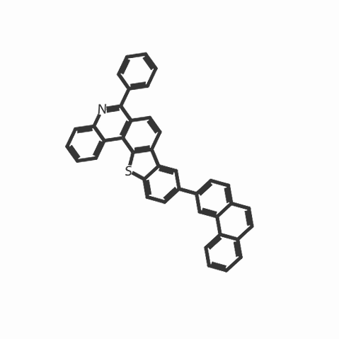 c1ccc(-c2nc3ccccc3c3c2ccc2c4cc(-c5ccc6ccc7ccccc7c6c5)ccc4sc23)cc1